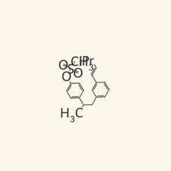 CC(C)/C=C/c1cccc(CC(C)c2ccc(OS(C)(=O)=O)cc2)c1